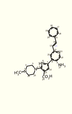 CN1CCN(c2[nH]c(-c3ccnc(/C=C/c4ccccc4)c3)cc2C(=O)O)CC1.N